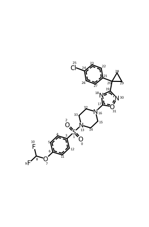 O=S(=O)(c1ccc(OC(F)F)cc1)N1CCN(c2nc(C3(c4ccc(Cl)cc4)CC3)no2)CC1